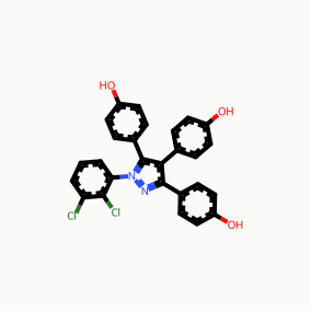 Oc1ccc(-c2nn(-c3cccc(Cl)c3Cl)c(-c3ccc(O)cc3)c2-c2ccc(O)cc2)cc1